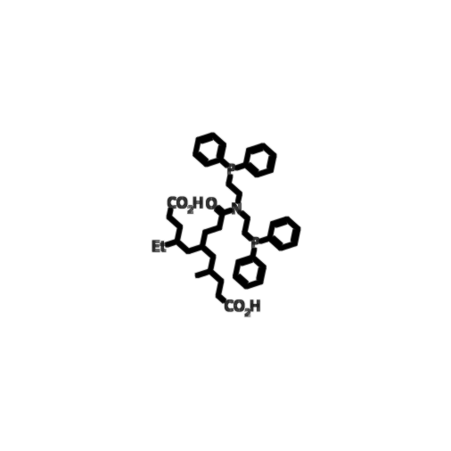 CCC(CCC(=O)O)CC(CCC(=O)N(CCP(c1ccccc1)c1ccccc1)CCP(c1ccccc1)c1ccccc1)CC(C)CCC(=O)O